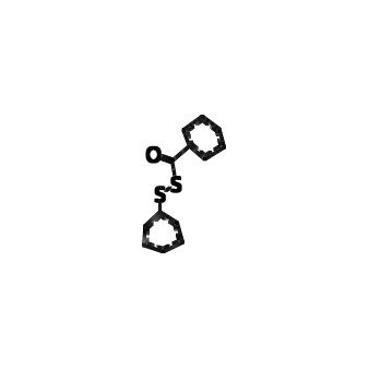 O=C(SSc1ccccc1)c1ccccc1